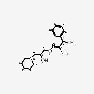 CC(C(N)=NOCC(O)CN1CCCCC1)c1ccccc1